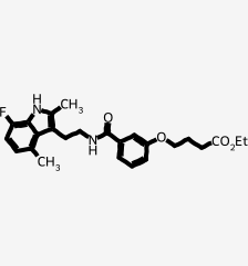 CCOC(=O)CCCOc1cccc(C(=O)NCCc2c(C)[nH]c3c(F)ccc(C)c23)c1